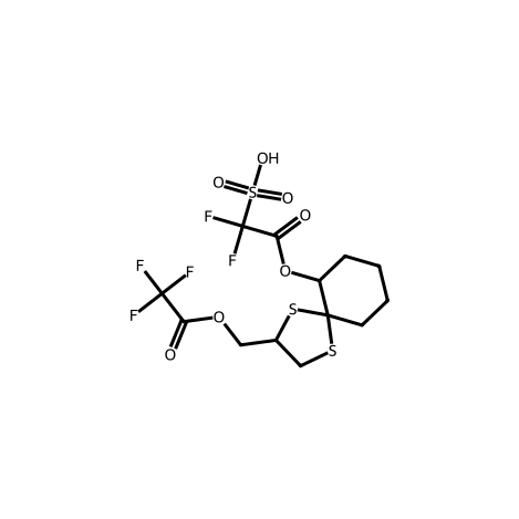 O=C(OCC1CSC2(CCCCC2OC(=O)C(F)(F)S(=O)(=O)O)S1)C(F)(F)F